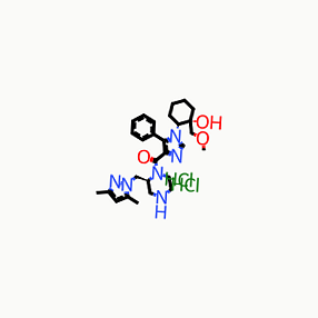 COC[C@]1(O)CCCC[C@H]1n1cnc(C(=O)N2CCNC[C@H]2Cn2nc(C)cc2C)c1-c1ccccc1.Cl.Cl